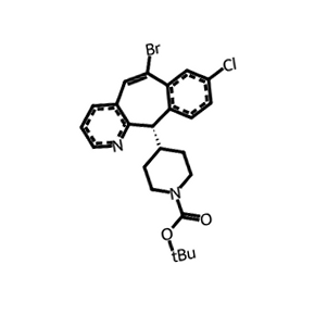 CC(C)(C)OC(=O)N1CCC([C@H]2c3ccc(Cl)cc3C(Br)=Cc3cccnc32)CC1